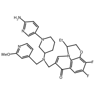 CCC1COc2c(F)c(F)cc3c(=O)c(CN(Cc4ccnc(OC)c4)C4CCCN(c5ccc(N)nc5)C4)cn1c23